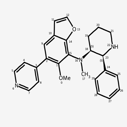 COc1c(-c2ccncc2)cc2ccoc2c1N(C)[C@H]1CCCN[C@H]1c1ccccc1